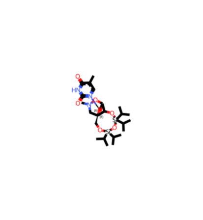 Cc1cn([C@@H]2O[C@]34CO[Si](C(C)C)(C(C)C)O[Si](C(C)C)(C(C)C)OC3C2ON(C)C4)c(=O)[nH]c1=O